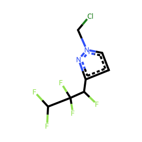 FC(F)C(F)(F)C(F)c1ccn(CCl)n1